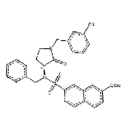 COc1ccc2ccc(S(=O)(=O)N(Cc3cccnc3)[C@H]3CCN(Cc4cccc(C#N)c4)C3=O)cc2c1